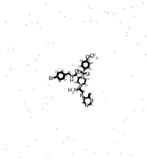 C=C1N=CN=C/C1=N/C=C(\N)N1CCN(S(=O)(=O)c2ccc(OC(F)(F)F)cc2)[C@@H](C(=O)NCc2ccc(Br)cc2)C1